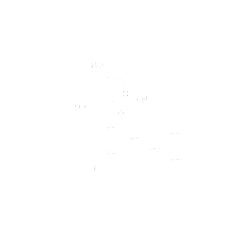 CCC1(Oc2ccc(F)cc2CCc2ccccc2)CC(O)CN1C